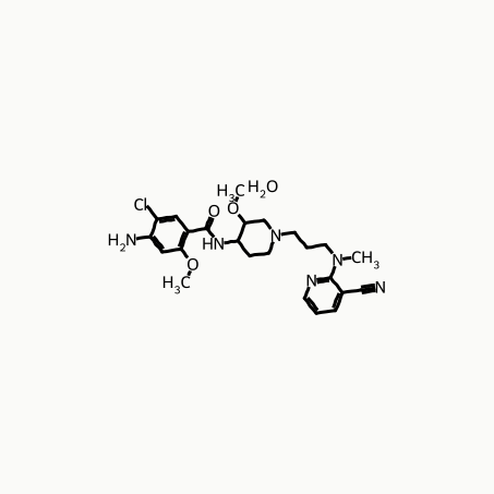 COc1cc(N)c(Cl)cc1C(=O)NC1CCN(CCCN(C)c2ncccc2C#N)CC1OC.O